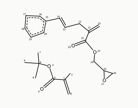 C=C(C)C(=O)OC(C)(C)C.C=C(CC=Cc1ccccc1)C(=O)OCC1CO1